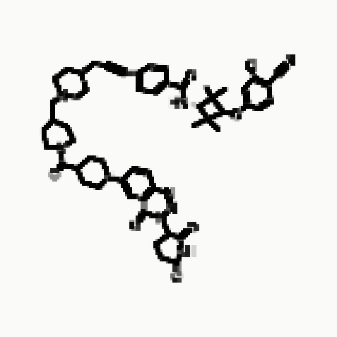 CC1(C)[C@H](NC(=O)c2ccc(C#CCC3CCN(CC4CCN(C(=O)C5CCN(c6ccc7nnn(C8CCC(=O)NC8=O)c(=O)c7c6)CC5)CC4)CC3)cc2)C(C)(C)[C@H]1Oc1ccc(C#N)c(Cl)c1